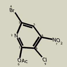 CC(=O)Oc1nc(Br)cc([N+](=O)[O-])c1Cl